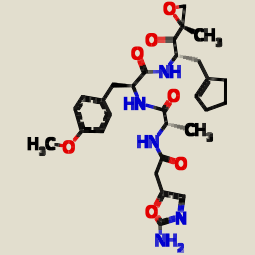 COc1ccc(C[C@H](NC(=O)[C@H](C)NC(=O)Cc2cnc(N)o2)C(=O)N[C@@H](CC2=CCCC2)C(=O)[C@@]2(C)CO2)cc1